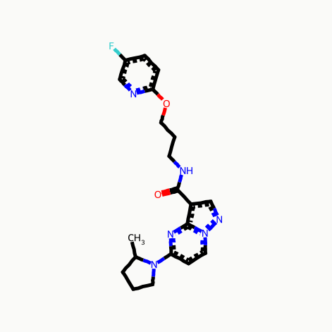 CC1CCCN1c1ccn2ncc(C(=O)NCCCOc3ccc(F)cn3)c2n1